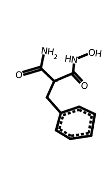 NC(=O)[C](Cc1ccccc1)C(=O)NO